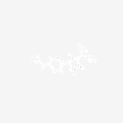 COc1ccc(-c2nc(C(C)C)n[nH]2)cc1